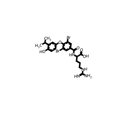 CC(C)c1cc(Oc2c(Br)cc(C(=O)NC(CCCNC(=N)N)C(=O)O)cc2Br)ccc1O